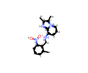 Cc1cccc([N+](=O)[O-])c1CNc1cccn2c(C)c(C)nc12